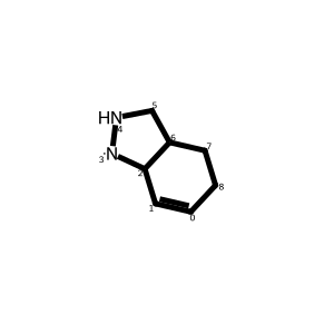 C1=CC2[N]NCC2CC1